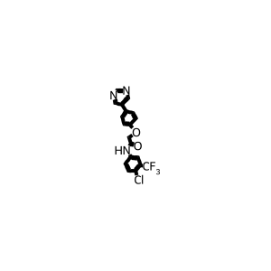 O=C(COc1ccc(-c2cncnc2)cc1)Nc1ccc(Cl)c(C(F)(F)F)c1